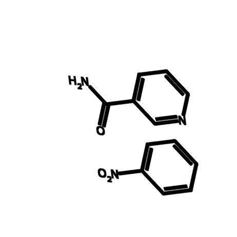 NC(=O)c1cccnc1.O=[N+]([O-])c1ccccc1